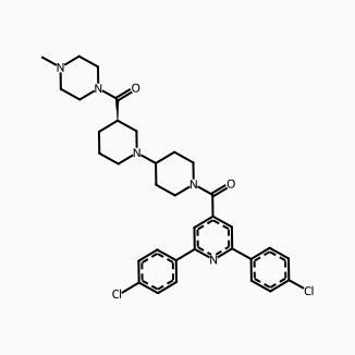 CN1CCN(C(=O)[C@@H]2CCCN(C3CCN(C(=O)c4cc(-c5ccc(Cl)cc5)nc(-c5ccc(Cl)cc5)c4)CC3)C2)CC1